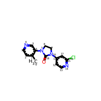 Cc1ccncc1N1CCN(c2ccnc(Cl)c2)C1=O